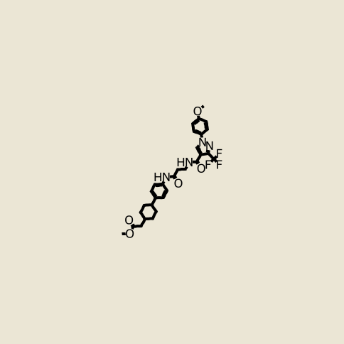 COC(=O)CC1CCC(c2ccc(NC(=O)CCNC(=O)c3cn(-c4ccc(OC)cc4)nc3C(F)(F)F)cc2)CC1